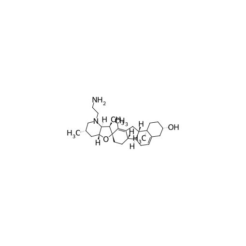 CC1=C2C[C@H]3[C@@H](CC=C4C[C@@H](O)CC[C@@]43C)[C@@H]2CC[C@]12O[C@@H]1C[C@H](C)CN(CCN)[C@H]1[C@H]2C